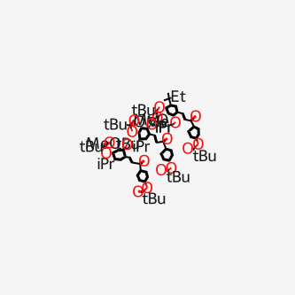 CCC(C)(C)c1cc(C=CC(=O)c2ccc(OC(=O)C(C)(C)C)cc2)c(OC(C)C)c(OC)c1OC(=O)C(C)(C)C.COc1c(OC(C)C)c(C=CC(=O)c2ccc(OC(=O)C(C)(C)C)cc2)cc(C(C)(C)C)c1OC(=O)C(C)(C)C.COc1c(OC(C)C)c(C=CC(=O)c2ccc(OC(=O)C(C)(C)C)cc2)cc(C(C)C)c1OC(=O)C(C)(C)C